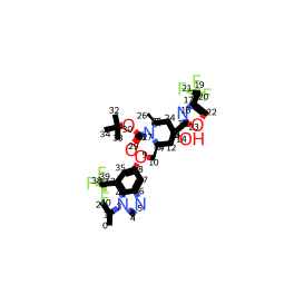 CC(C)n1cnc2cc(OC[C@@H]3C[C@](O)(c4nc(C(F)(F)F)co4)C[C@H](C)N3C(=O)OC(C)(C)C)cc(C(F)(F)F)c21